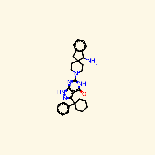 N[C@@H]1c2ccccc2CC12CCN(c1nc3[nH]nc(C4(c5ccccc5)CCCCC4)c3c(=O)[nH]1)CC2